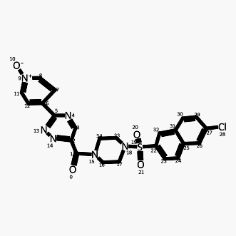 O=C(c1cnc(-c2cc[n+]([O-])cc2)nn1)N1CCN(S(=O)(=O)c2ccc3cc(Cl)ccc3c2)CC1